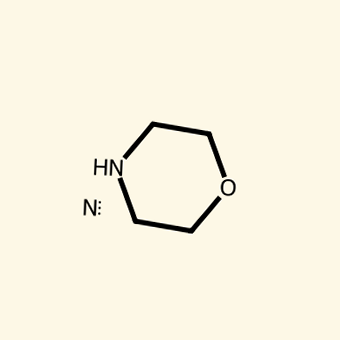 C1COCCN1.[N]